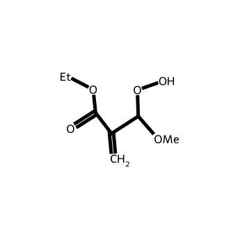 C=C(C(=O)OCC)C(OC)OO